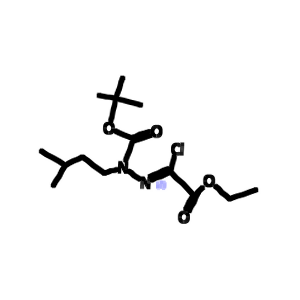 CCOC(=O)/C(Cl)=N/N(CCC(C)C)C(=O)OC(C)(C)C